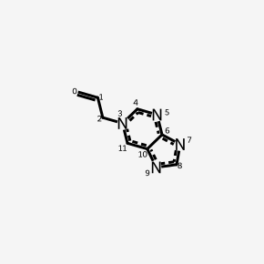 C=CCn1cnc2ncnc-2c1